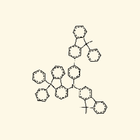 CC1(C)c2ccccc2-c2ccc(N(c3ccc(-c4ccc5c(c4)C(C)(c4ccccc4)c4ccccc4-5)cc3)c3cccc4c3-c3ccccc3C4(c3ccccc3)c3ccccc3)cc21